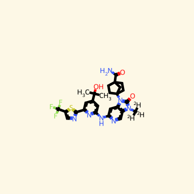 [2H]C([2H])([2H])n1c(=O)n(C23CCC(C(N)=O)(CC2)C3)c2cc(Nc3cc(C(C)(C)O)cc(-c4ncc(C(F)(F)F)s4)n3)ncc21